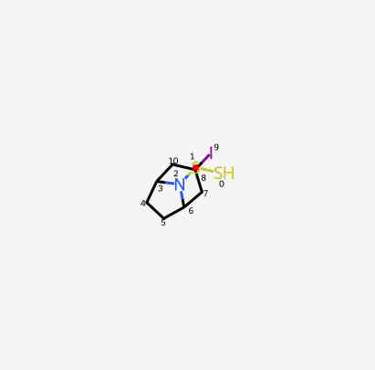 SSN1C2CCC1CC(I)C2